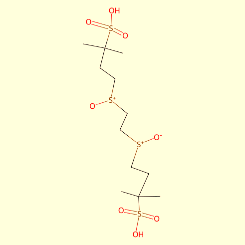 CC(C)(CC[S+]([O-])CC[S+]([O-])CCC(C)(C)S(=O)(=O)O)S(=O)(=O)O